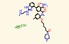 CNCCNc1nc2c(-c3ccc(C(=O)N(C)c4ccc(C)cc4OCCCCCC(=O)N4CCN(C)CC4)c(C(N)=O)c3OC)cccc2[nH]1.Cl.Cl.Cl